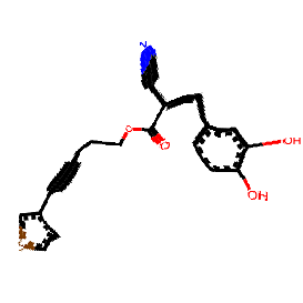 N#C/C(=C/c1ccc(O)c(O)c1)C(=O)OCCC#Cc1ccsc1